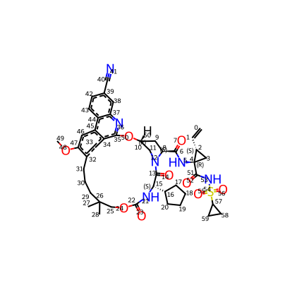 C=C[C@@H]1C[C@]1(NC(=O)[C@@H]1C[C@@H]2CN1C(=O)[C@H](C1CCCC1)NC(=O)OCC(C)(C)CCCc1cc3c(nc4cc(C#N)ccc4c3cc1OC)O2)C(=O)NS(=O)(=O)C1CC1